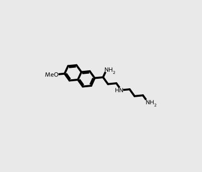 COc1ccc2cc(C(N)CCNCCCN)ccc2c1